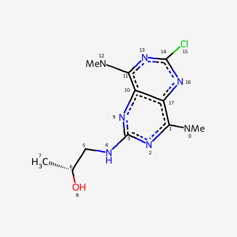 CNc1nc(NC[C@@H](C)O)nc2c(NC)nc(Cl)nc12